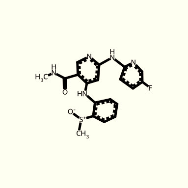 CNC(=O)c1cnc(Nc2ccc(F)cn2)cc1Nc1ccccc1[S+](C)[O-]